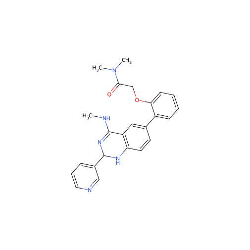 CNC1=NC(c2cccnc2)Nc2ccc(-c3ccccc3OCC(=O)N(C)C)cc21